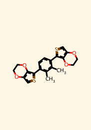 Cc1c(-c2scc3c2OCCO3)ccc(-c2scc3c2OCCO3)c1C